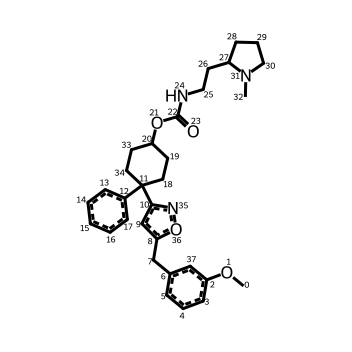 COc1cccc(Cc2cc(C3(c4ccccc4)CCC(OC(=O)NCCC4CCCN4C)CC3)no2)c1